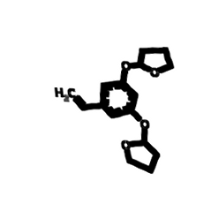 C=Cc1cc(OC2CCCO2)cc(OC2CCCO2)c1